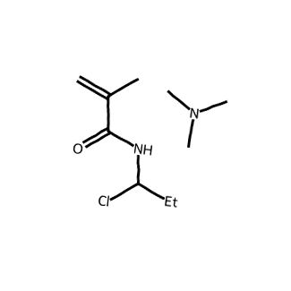 C=C(C)C(=O)NC(Cl)CC.CN(C)C